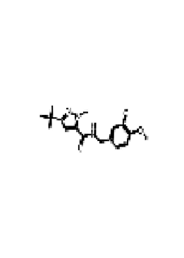 COc1ccc(CNC(=O)c2cc(C(C)(C)C)nn2C)cc1Cl